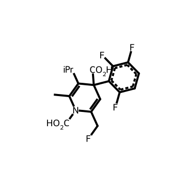 CC1=C(C(C)C)C(C(=O)O)(c2c(F)ccc(F)c2F)C=C(CF)N1C(=O)O